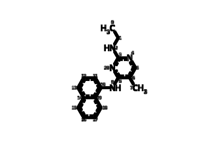 CCNc1ncc(C)c(Nc2cccc3ccccc23)n1